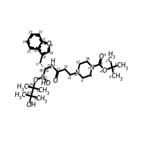 CC(C)(C)OC(=O)N1CCN(CCC(=O)N[C@@H](Cc2coc3ccccc23)B(O)OC(C)(C)C(C)(C)O)CC1